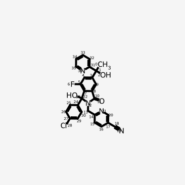 CC(O)(c1cc(F)c2c(c1)C(=O)N(Cc1ccc(C#N)cn1)C2(O)c1ccc(Cl)cc1)c1ccccn1